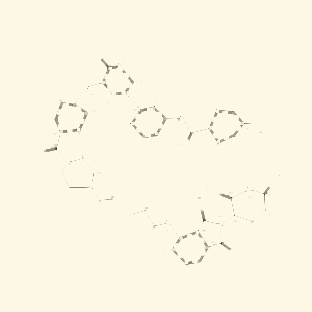 Cc1c(NC(=O)c2ccc(C(C)(C)C)cc2)cccc1-c1cn(C)c(=O)c(Nc2ccc(C(=O)N3CCN(CCOCCNc4cccc5c4C(=O)N(C4CCC(=O)NC4=O)C5=O)CC3)cc2)n1